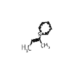 C/C=C(\C)[si]1ccccc1